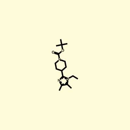 CCn1c(C2CCN(C(=O)OC(C)(C)C)CC2)nc(C)c1C